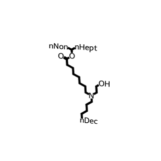 CCCCCCCCCCCCCCN(CCO)CCCCCCCC(=O)OC(CCCCCCC)CCCCCCCCC